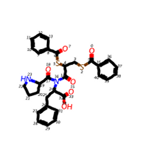 O=C(SCC(SC(=O)c1ccccc1)C(=O)N(C(=O)C1CCCN1)C(Cc1ccccc1)C(=O)O)c1ccccc1